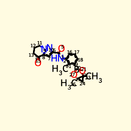 Cc1c(NC(=O)c2cc3n(n2)CCCC3=O)cccc1B1OC2(C)CC2(C)O1